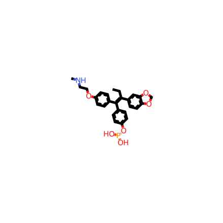 CCC(=C(c1ccc(OCCNC)cc1)c1ccc(OP(O)O)cc1)c1ccc2c(c1)OCO2